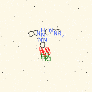 CC(C)C(N)CN1CCC(Nc2nc3ccccc3n2Cc2nccc3ccccc23)CC1.Cl.Cl.Cl.O.O.O